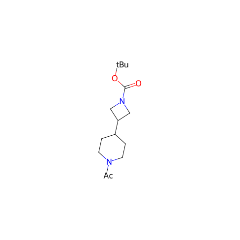 CC(=O)N1CCC(C2CN(C(=O)OC(C)(C)C)C2)CC1